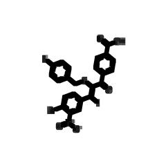 O=C(O)c1ccc(C(=O)C(SCc2ccc(F)cc2)=C(I)c2ccc(Br)c([N+](=O)[O-])c2)cc1